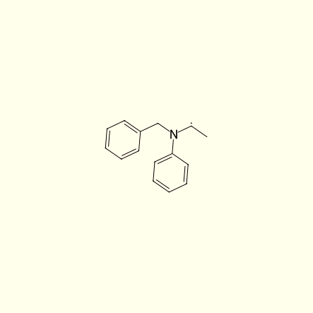 C[CH]N(Cc1ccccc1)c1ccccc1